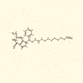 CCCCCCCCCCCCCCCCCCOCC[C](c1ccccc1)n1cnc2c(=O)[nH]c(N)nc21